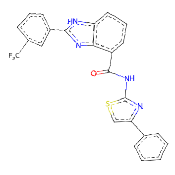 O=C(Nc1nc(-c2ccccc2)cs1)c1cccc2[nH]c(-c3cccc(C(F)(F)F)c3)nc12